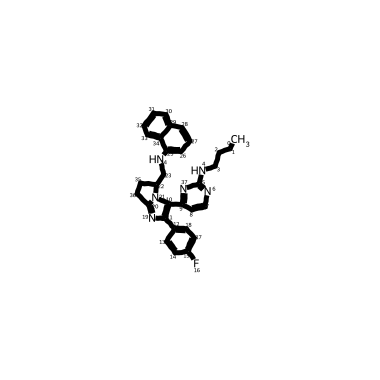 CCCCNc1nccc(-c2c(-c3ccc(F)cc3)nc3n2C(CNc2cccc4ccccc24)CC3)n1